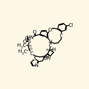 C[C@@H]1[C@@H](C)CCC[C@@](O)(Cc2nccs2)[C@@H]2CC[C@H]2CN2CCCCc3cc(Cl)ccc3COc3ccc(cc32)C(=O)NS1(=O)=O